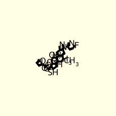 C[C@H]1C[C@@H]2[C@H]([C@@H](O)C[C@@]3(C)[C@H]2CC[C@]3(OC(=O)c2ccco2)C(=O)S)[C@@]2(C)Cc3cnn(-c4ccc(F)nc4)c3C=C12